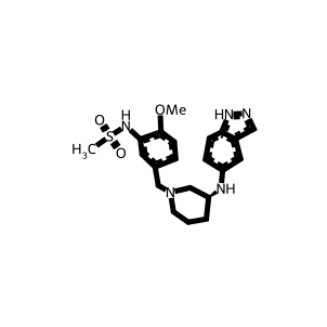 COc1ccc(CN2CCC[C@H](Nc3ccc4[nH]ncc4c3)C2)cc1NS(C)(=O)=O